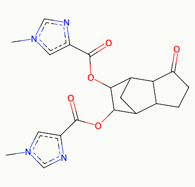 Cn1cnc(C(=O)OC2C3CC(C2OC(=O)c2cn(C)cn2)C2C(=O)CCC32)c1